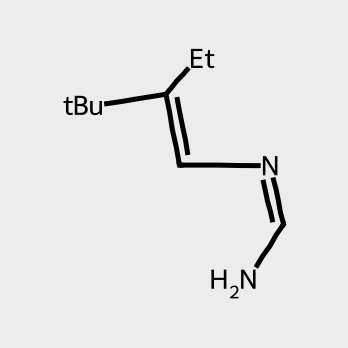 CC/C(=C\N=C/N)C(C)(C)C